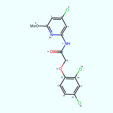 COc1cc(Cl)cc(NC(=O)COc2ccc(Cl)cc2Cl)n1